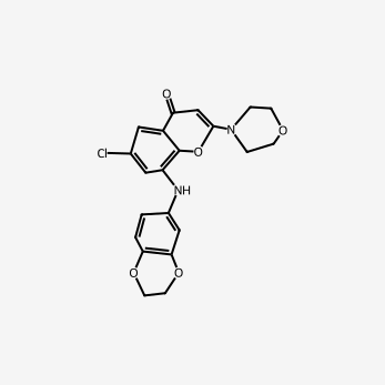 O=c1cc(N2CCOCC2)oc2c(Nc3ccc4c(c3)OCCO4)cc(Cl)cc12